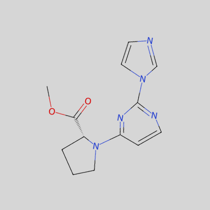 COC(=O)[C@H]1CCCN1c1ccnc(-n2ccnc2)n1